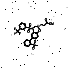 CS(=O)(=O)c1ccccc1-c1ccc2c(c1)N(S(=O)(=O)c1cccc(C(F)(F)F)c1)C[C@H](CCC(=O)O)O2